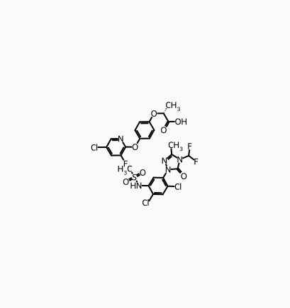 C[C@@H](Oc1ccc(Oc2ncc(Cl)cc2F)cc1)C(=O)O.Cc1nn(-c2cc(NS(C)(=O)=O)c(Cl)cc2Cl)c(=O)n1C(F)F